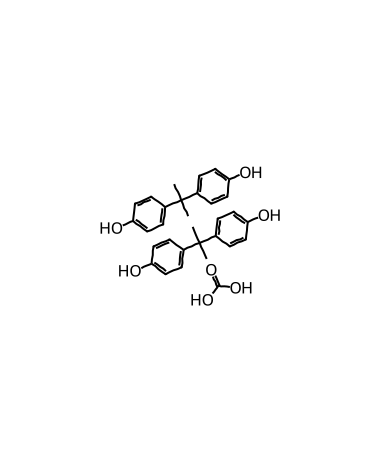 CC(C)(c1ccc(O)cc1)c1ccc(O)cc1.CC(C)(c1ccc(O)cc1)c1ccc(O)cc1.O=C(O)O